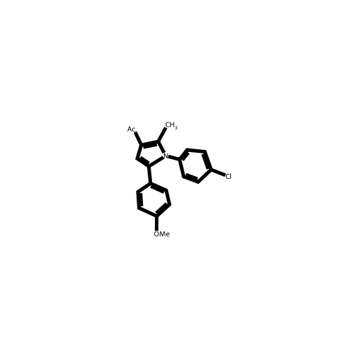 COc1ccc(-c2cc(C(C)=O)c(C)n2-c2ccc(Cl)cc2)cc1